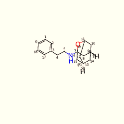 c1ccc(CCNC23C[C@@H]4CC(C[C@@H](C4)C2)O3)cc1